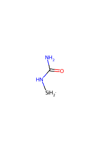 NC(=O)N[SiH2]